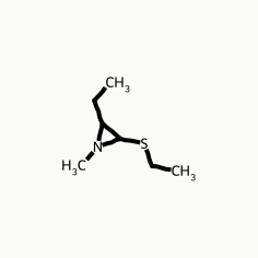 CCSC1C(CC)N1C